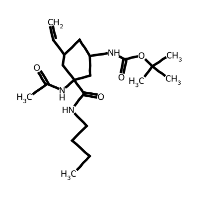 C=CC1CC(NC(=O)OC(C)(C)C)CC(NC(C)=O)(C(=O)NCCCC)C1